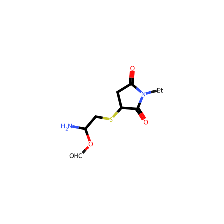 CCN1C(=O)CC(SCC(N)OC=O)C1=O